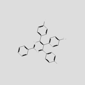 Brc1ccc(-c2nc(-c3ccccc3)nc(-c3ccc(Br)cc3)c2-c2ccc(Br)cc2)cc1